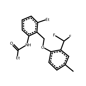 CCC(=O)Nc1cccc(CC)c1COc1ccc(C)cc1C(F)F